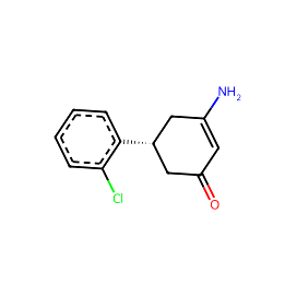 NC1=CC(=O)C[C@H](c2ccccc2Cl)C1